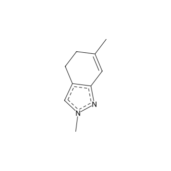 CC1=Cc2nn(C)cc2CC1